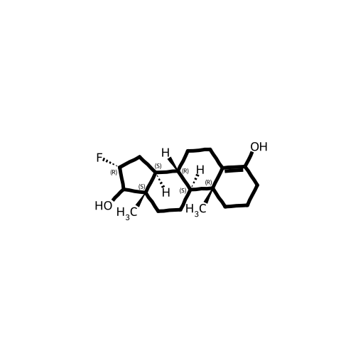 C[C@]12CCCC(O)=C1CC[C@@H]1[C@@H]2CC[C@]2(C)C(O)[C@H](F)C[C@@H]12